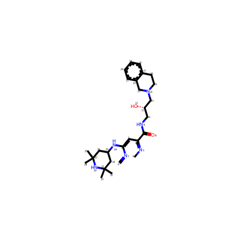 C=N/C(=C\C(=N/C)C(=O)NC[C@H](O)CN1CCc2ccccc2C1)NC1CC(C)(C)NC(C)(C)C1